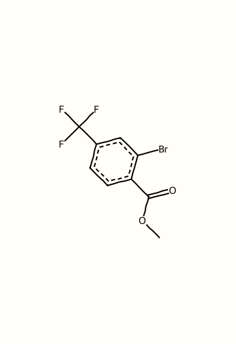 COC(=O)c1ccc(C(F)(F)F)cc1Br